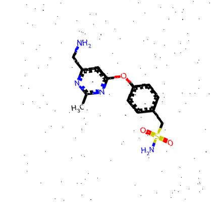 Cc1nc(CN)cc(Oc2ccc(CS(N)(=O)=O)cc2)n1